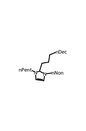 CCCCCCCCCCCCCC1N(CCCCC)C=CN1CCCCCCCCC